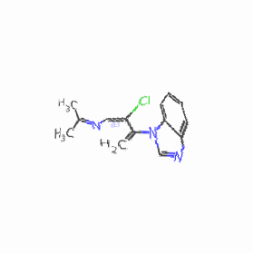 C=C(/C(Cl)=C\N=C(C)C)n1cnc2ccccc21